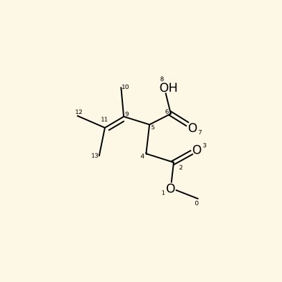 COC(=O)CC(C(=O)O)C(C)=C(C)C